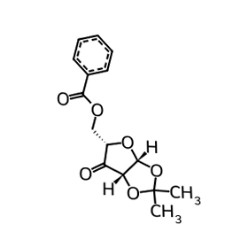 CC1(C)O[C@H]2O[C@@H](COC(=O)c3ccccc3)C(=O)[C@H]2O1